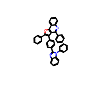 c1ccc(-c2oc3c(c(-c4ccccc4)nc4ccccc43)c2-c2ccc(-c3nc4ccccc4n3-c3ccccc3)cc2)cc1